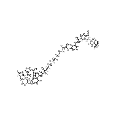 CN[C@@H](C)C(=O)N[C@H](C(=O)N1CCC[C@H]1C(=O)Nc1sc(NC(=O)COCCOCCOCCOCCN(C)C(=O)Cc2cccc(CNC(=O)c3cc(/C=C/C4CCC(C(F)(F)F)CC4)c(OC)cn3)c2)nc1-c1ccccc1)C1CCCCC1